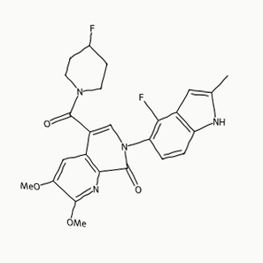 COc1cc2c(C(=O)N3CCC(F)CC3)cn(-c3ccc4[nH]c(C)cc4c3F)c(=O)c2nc1OC